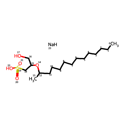 CCCCCCCCCCCCC(C)OC(CO)CS(=O)(=O)O.[NaH]